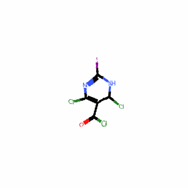 O=C(Cl)C1=C(Cl)N=C(I)NC1Cl